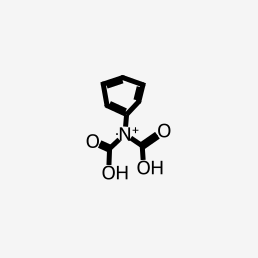 O=C(O)[N+](C(=O)O)c1ccccc1